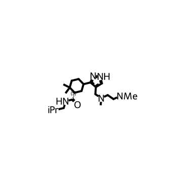 CNCCN(C)Cc1c[nH]nc1C1CCC(C)(C)[C@@H](C(=O)NCC(C)C)C1